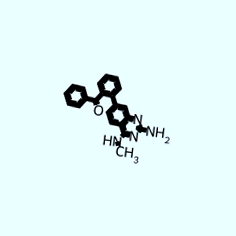 CNc1nc(N)nc2cc(-c3ccccc3C(=O)c3ccccc3)ccc12